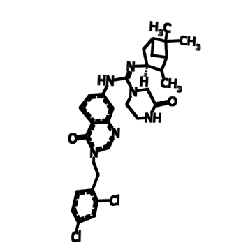 CC1C2CC(C[C@@H]1/N=C(/Nc1ccc3c(=O)n(CCc4ccc(Cl)cc4Cl)cnc3c1)N1CCNC(=O)C1)C2(C)C